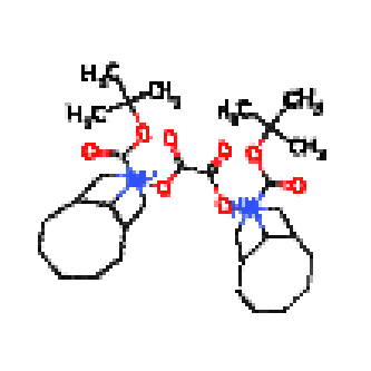 CC(C)(C)OC(=O)N(OC(=O)C(=O)ON(C(=O)OC(C)(C)C)C1C2CCCCCC1CNC2)C1C2CCCCCC1CNC2